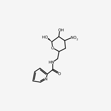 O=C(NCC1CC([N+](=O)[O-])C(O)[C@H](O)O1)c1ccccn1